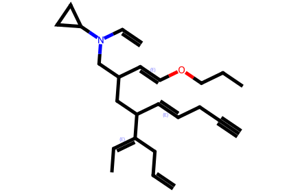 C#CC/C=C/C(CC(/C=C/OCCC)CN(C=C)C1CC1)/C(=C/C)CC=C